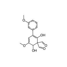 COC1=CC(c2cccc(OC)c2)=C(O)C(C=O)(C=O)C1O